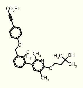 CCOC(=O)C#Cc1ccc(OCc2cccc(-c3cc(C)c(OCCC(C)(C)O)nc3C)c2C)cc1